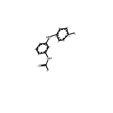 CC(=O)Nc1cccc(Nc2ccc(C)cc2)c1